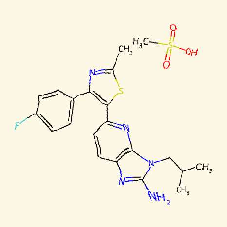 CS(=O)(=O)O.Cc1nc(-c2ccc(F)cc2)c(-c2ccc3nc(N)n(CC(C)C)c3n2)s1